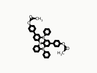 CC1OC1Oc1ccc(-c2ccc3c(c2)B(c2ccccc2)c2cc(-c4ccc(OC5OC5C)cc4)cc4c2N3c2ccccc2B4c2ccccc2)cc1